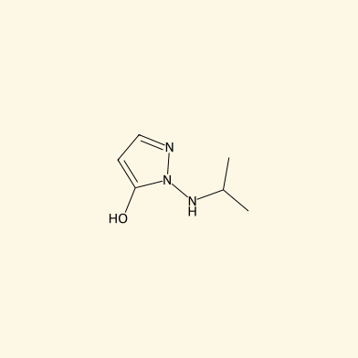 CC(C)Nn1nccc1O